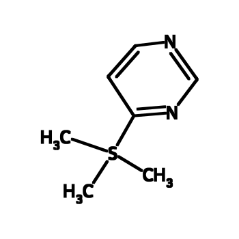 CS(C)(C)c1ccncn1